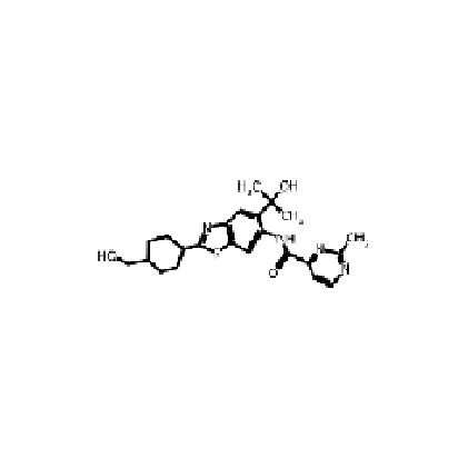 Cc1nccc(C(=O)Nc2cc3sc(C4CCC(CO)CC4)nc3cc2C(C)(C)O)n1